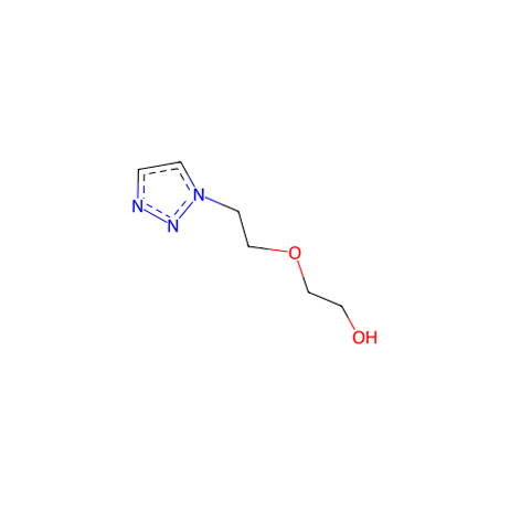 OCCOCCn1ccnn1